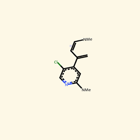 C=C(/C=C\NC)c1cc(NC)ncc1Cl